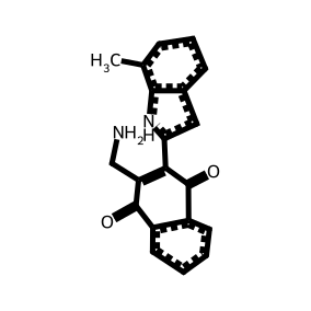 Cc1cccc2cc(C3=C(CN)C(=O)c4ccccc4C3=O)[nH]c12